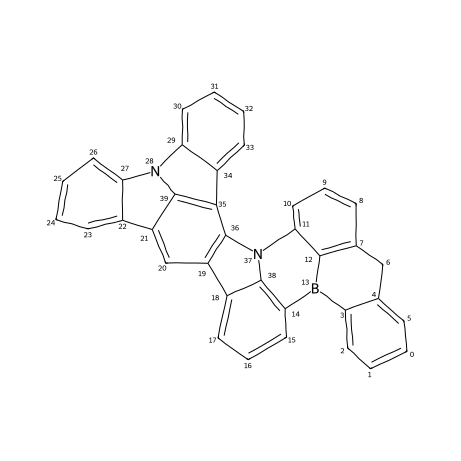 c1ccc2c(c1)Cc1cccc3c1B2c1cccc2c4cc5c6ccccc6n6c7ccccc7c(c4n-3c12)c56